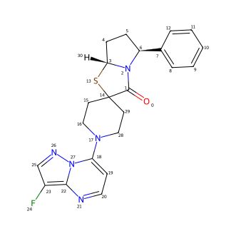 O=C1N2[C@@H](CC[C@H]2c2ccccc2)SC12CCN(c1ccnc3c(F)cnn13)CC2